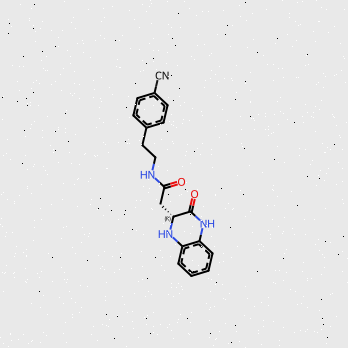 N#Cc1ccc(CCNC(=O)C[C@H]2Nc3ccccc3NC2=O)cc1